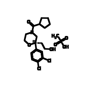 CS(=O)(=O)O.O=C(C1CCCC1)N1CCO[C@](CCO)(c2ccc(Cl)c(Cl)c2)C1